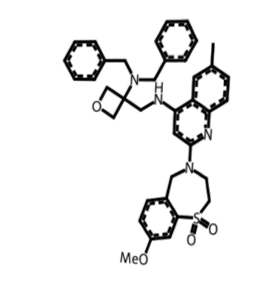 COc1ccc2c(c1)S(=O)(=O)CCN(c1cc(NCC3(N(Cc4ccccc4)Cc4ccccc4)COC3)c3cc(C)ccc3n1)C2